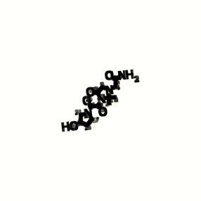 CC1(C)N(CC(N)=O)CC(=O)N1C(=O)C(=O)N1CC[C@H](O)C1